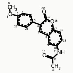 COc1ccc(-c2cc3cc(NC(C)=O)ccc3oc2=O)cc1